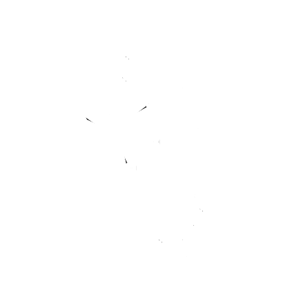 Cc1cc(OCCC(=O)NC(C)(C)C(N)=O)ccc1Cc1c(O[C@@H]2O[C@H](CO)[C@@H](O)[C@H](O)[C@H]2O)n[nH]c1C(C)C